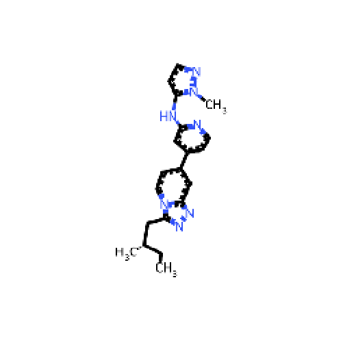 CC[C@H](C)Cc1nnc2cc(-c3ccnc(Nc4ccnn4C)c3)ccn12